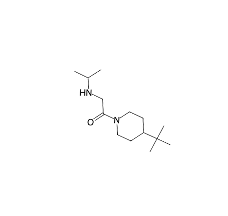 CC(C)NCC(=O)N1CCC(C(C)(C)C)CC1